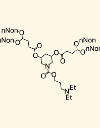 CCCCCCCCCOC(CCC(=O)OC1CC(OC(=O)CCC(OCCCCCCCCC)OCCCCCCCCC)CN(C(=O)OCCCN(CC)CC)C1)OCCCCCCCCC